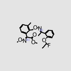 CO/N=C(/C(=O)OC)c1cccc(C)c1CO/N=C(\C)c1ccccc1OC(C)F